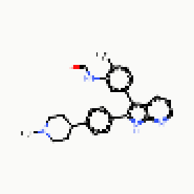 Cc1ccc(-c2c(-c3ccc(C4CCN(C)CC4)cc3)[nH]c3ncccc23)cc1NC=O